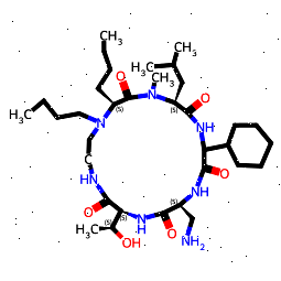 CCCC[C@H]1C(=O)N(C)[C@@H](CC(C)C)C(=O)NC(C2CCCCC2)C(=O)N[C@@H](CN)C(=O)N[C@@H]([C@H](C)O)C(=O)NCCN1CCCC